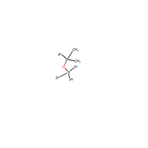 C[CH2][Ti]([CH2]C)([O][Ti]([CH3])([CH3])[CH](C)C)[CH](C)C